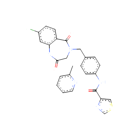 O=C(Nc1ccc(CN2C(=O)c3ccc(Cl)cc3NC(=O)[C@H]2Cc2ccccn2)cc1)c1cscn1